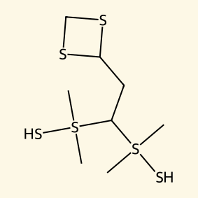 CS(C)(S)C(CC1SCS1)S(C)(C)S